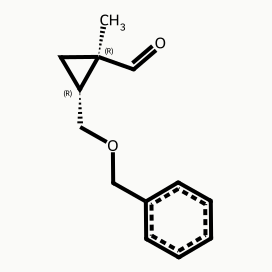 C[C@@]1(C=O)C[C@H]1COCc1ccccc1